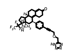 C[C@]12C[C@H](c3ccc(C#CCOCc4nnn[nH]4)cc3)C3=C4CCC(=O)C=C4CC[C@H]3[C@@H]1CC[C@@]2(O)C(F)(F)C(F)(F)F